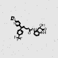 O=C(/C=C/C=C(\c1ccc(C(F)(F)F)cc1)c1ccc(N2CCC2)nc1)Nc1cccc2c1CC(O)C(=O)N2